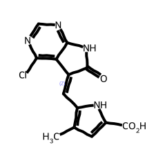 Cc1cc(C(=O)O)[nH]c1/C=C1\C(=O)Nc2ncnc(Cl)c21